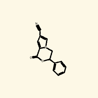 N#Cc1cc2n(c1)CC(c1ccccc1)OC2=O